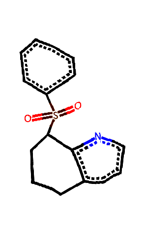 O=S(=O)(c1ccccc1)C1CCCc2cccnc21